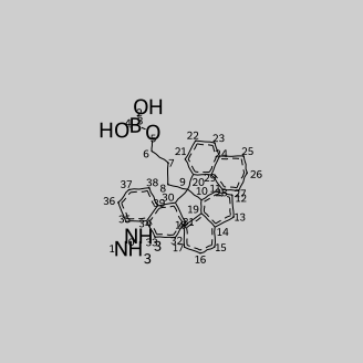 N.N.OB(O)OCCCC(c1cccc2ccccc12)(c1cccc2ccccc12)c1cccc2ccccc12